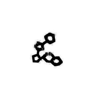 O=C(Cc1ccccc1Br)N1CCCC1c1nnc(-c2ccncc2)o1